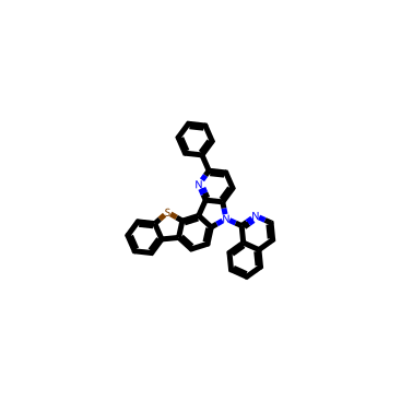 c1ccc(-c2ccc3c(n2)c2c4sc5ccccc5c4ccc2n3-c2nccc3ccccc23)cc1